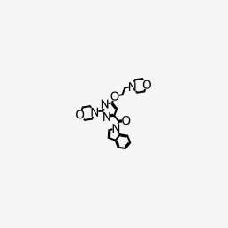 O=C(c1cc(OCCN2CCOCC2)nc(N2CCOCC2)n1)n1ccc2ccccc21